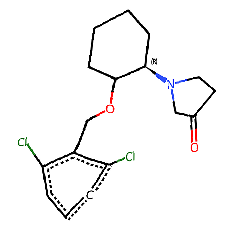 O=C1CCN([C@@H]2CCCCC2OCc2c(Cl)cccc2Cl)C1